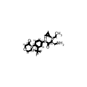 CCN(C1CC1)[C@@H](CN)C(=O)Nc1ccc(N2CCOCC2=O)c(C(F)(F)F)c1